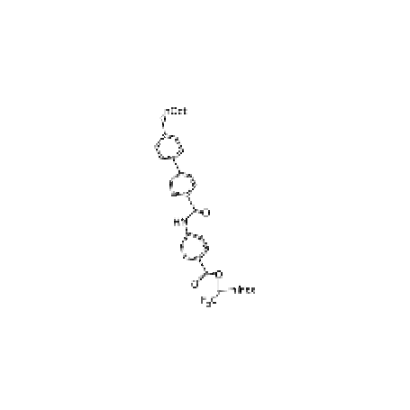 CCCCCCCCOc1ccc(-c2ccc(C(=O)Nc3ccc(C(=O)OC(CCCCCC)C(F)(F)F)cc3)cc2)cc1